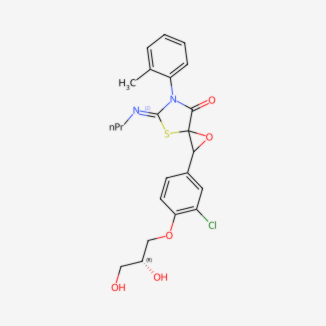 CCC/N=C1\SC2(OC2c2ccc(OC[C@H](O)CO)c(Cl)c2)C(=O)N1c1ccccc1C